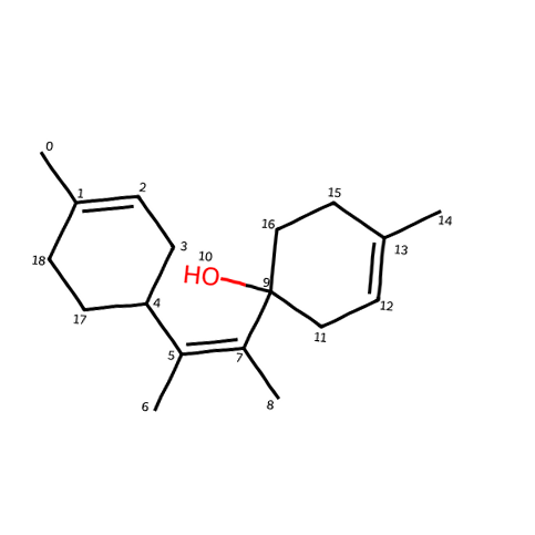 CC1=CCC(C(C)=C(C)C2(O)CC=C(C)CC2)CC1